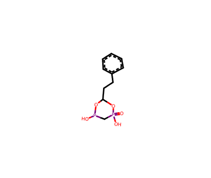 O=P1(O)CP(O)OC(CCc2ccccc2)O1